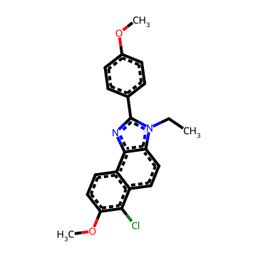 CCn1c(-c2ccc(OC)cc2)nc2c3ccc(OC)c(Cl)c3ccc21